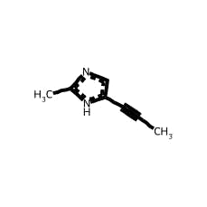 CC#Cc1cnc(C)[nH]1